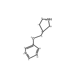 c1ncc(OCC2CCNC2)cn1